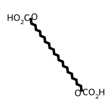 O=C(O)C(=O)CCCCCCCCCCCCCCCCCCCCCCC(=O)C(=O)O